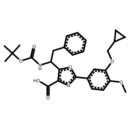 COc1ccc(-c2nc(C(=O)O)c(C(Cc3ccccc3)NC(=O)OC(C)(C)C)o2)cc1OCC1CC1